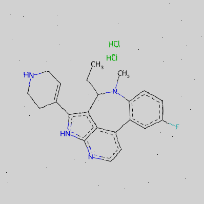 CCC1c2c(C3=CCNCC3)[nH]c3nccc(c23)-c2cc(F)ccc2N1C.Cl.Cl